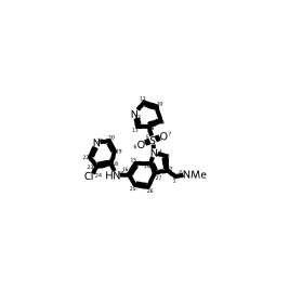 CNCc1cn(S(=O)(=O)c2cccnc2)c2cc(Nc3ccncc3Cl)ccc12